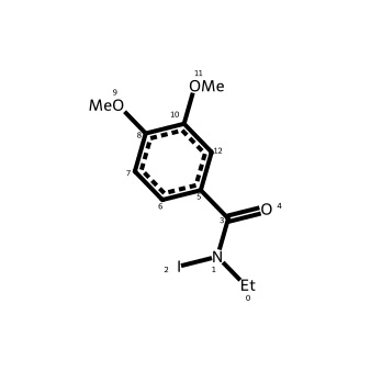 CCN(I)C(=O)c1ccc(OC)c(OC)c1